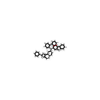 C1=CC2CC=c3oc(-c4ccccc4)nc3=C2C=C1N(c1ccc2c(c1)oc1ccccc12)c1ccccc1-c1ccccc1